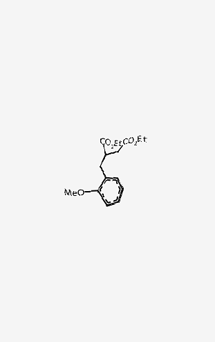 CCOC(=O)CC(Cc1ccccc1OC)C(=O)OCC